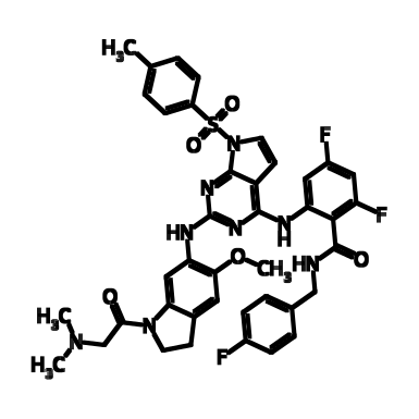 COc1cc2c(cc1Nc1nc(Nc3cc(F)cc(F)c3C(=O)NCc3ccc(F)cc3)c3ccn(S(=O)(=O)c4ccc(C)cc4)c3n1)N(C(=O)CN(C)C)CC2